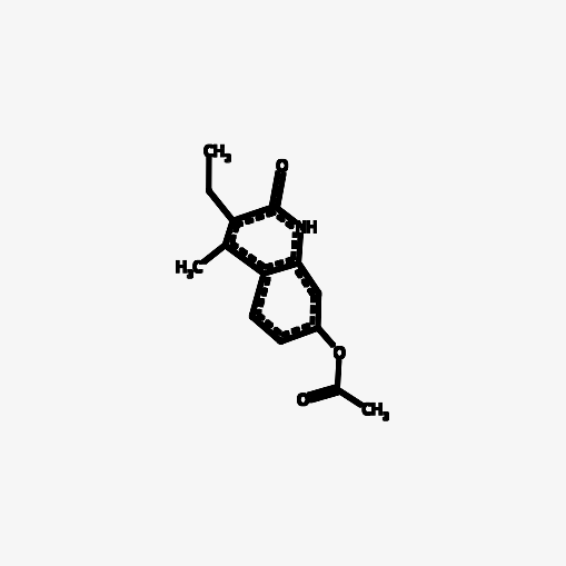 CCc1c(C)c2ccc(OC(C)=O)cc2[nH]c1=O